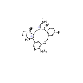 CN/C=C1/C/C(C=N)=C(/NC2CCC2)c2cnc(N)c(c2)OCc2cc(F)ccc2C1=N